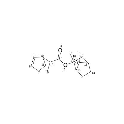 CC1(OC(=O)C2CC3C=CC2C3)CC2CCC1C2(C)C